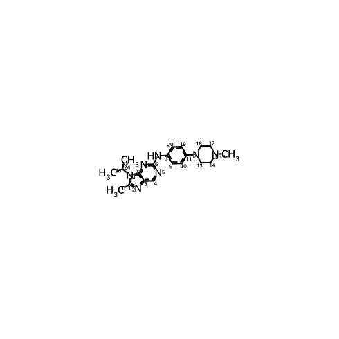 Cc1nc2cnc(Nc3ccc(N4CCN(C)CC4)cc3)nc2n1C(C)C